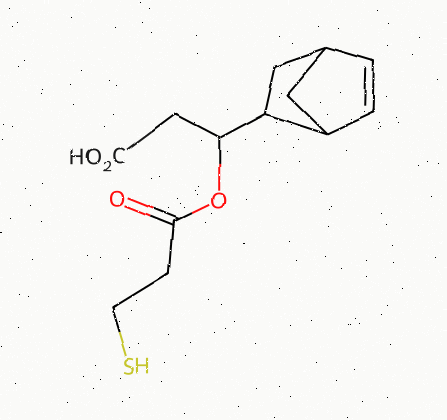 O=C(O)CC(OC(=O)CCS)C1CC2C=CC1C2